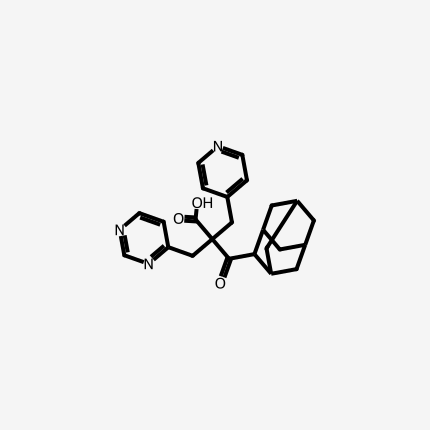 O=C(O)C(Cc1ccncc1)(Cc1ccncn1)C(=O)C1C2CC3CC(C2)CC1C3